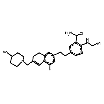 CC(=O)C1CCN(CC2=Cc3c(F)cc(CCc4ccc(NCC(C)C)c(C(N)Cl)c4)cc3CC2)CC1